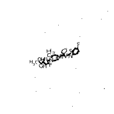 C[C@H](O)[C@@H](O)c1cnc(N2CCN(C(=O)Nc3nc4ccc(F)cc4s3)C[C@@H]2C)c(F)c1